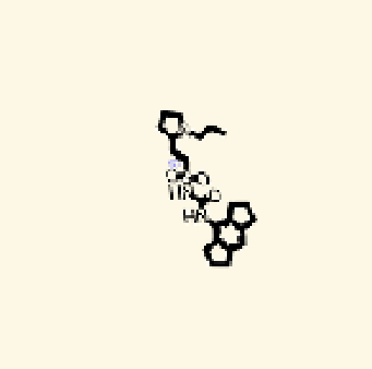 CCCN1CCCC1/C=C/S(=O)(=O)NC(=O)Nc1c2c(cc3c1CCC3)CCC2